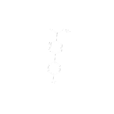 COC(=O)c1ccc(-c2ccc(C(F)(F)F)cc2)nn1